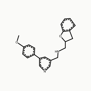 COc1ccc(-c2cncc(CNCC3Cc4ccccc4O3)c2)cc1